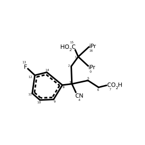 CC(C)C(CC(C#N)(CCC(=O)O)c1cccc(F)c1)(C(=O)O)C(C)C